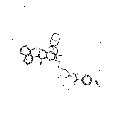 CN1C[C@H](NC(=O)c2ccc(C=O)cc2)C[C@H]1COc1nc(N2CC3CCC(C2)N3C(=O)OC(C)(C)C)c2cnc(-c3cccc4cccc(Cl)c34)c(F)c2n1